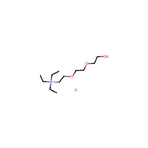 CC[N+](CC)(CC)CCOCCOCCO.[Cl-]